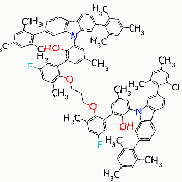 Cc1cc(C)c(-c2ccc3c4ccc(-c5c(C)cc(C)cc5C)cc4n(-c4cc(C)cc(-c5cc(F)cc(C)c5OCCCOc5c(C)cc(F)cc5-c5cc(C)cc(-n6c7cc(-c8c(C)cc(C)cc8C)ccc7c7ccc(-c8c(C)cc(C)cc8C)cc76)c5O)c4O)c3c2)c(C)c1